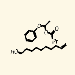 C=CCCCCCCCCO.CC(OC(=O)C(C)C)Oc1ccccc1